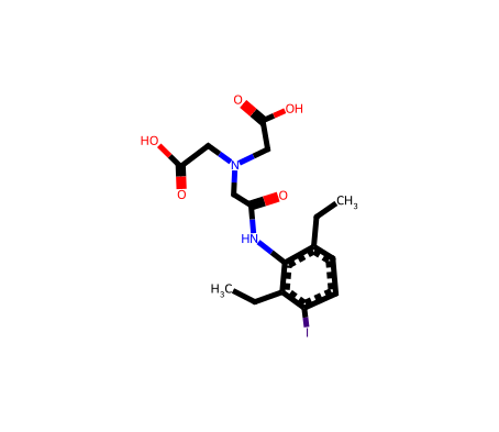 CCc1ccc(I)c(CC)c1NC(=O)CN(CC(=O)O)CC(=O)O